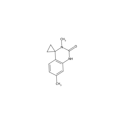 Cc1ccc2c(c1)NC(=O)N(C)C21CC1